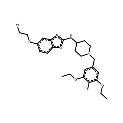 CCOc1cc(CN2CCC(Nc3nc4cc(OCCO)ccc4o3)CC2)cc(OCC)c1F